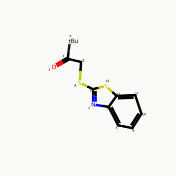 CC(C)(C)C(=O)CSc1nc2ccccc2s1